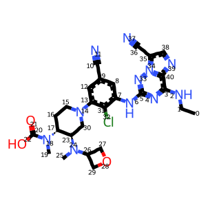 CCNc1nc(Nc2cc(C#N)cc(N3CC[C@@H](N(C)C(=O)O)[C@H](N(C)C4COC4)C3)c2Cl)nn2c(C#N)cnc12